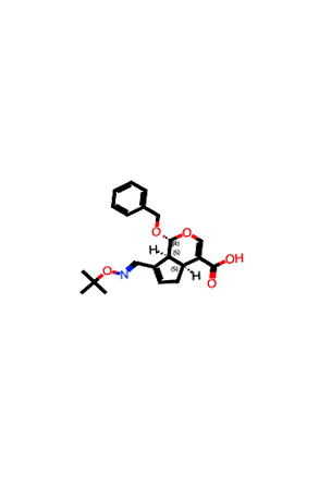 CC(C)(C)ON=CC1=CC[C@@H]2C(C(=O)O)=CO[C@@H](OCc3ccccc3)[C@H]12